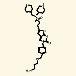 NCCCNCc1ccc(-n2cc3cc(CCS(=O)(=O)N(CC4CCOCC4)C4CCNCC4)[nH]c3nc2=O)cc1